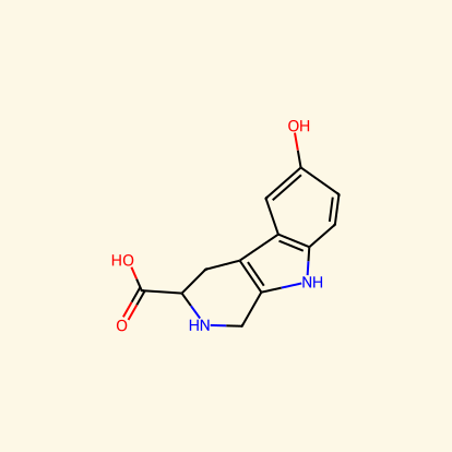 O=C(O)C1Cc2c([nH]c3ccc(O)cc23)CN1